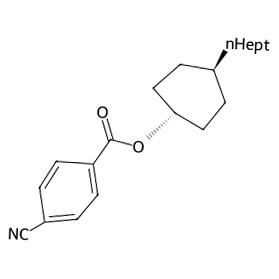 CCCCCCC[C@H]1CC[C@H](OC(=O)c2ccc(C#N)cc2)CC1